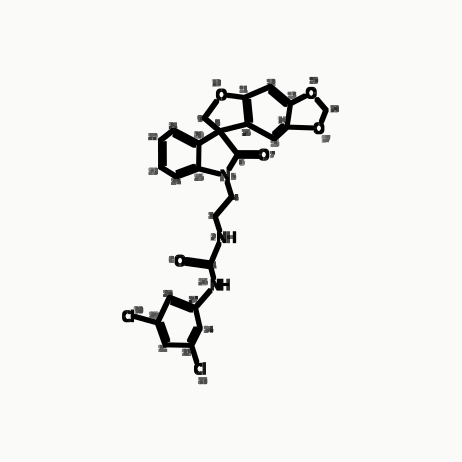 O=C(NCCN1C(=O)C2(COc3cc4c(cc32)OCO4)c2ccccc21)Nc1cc(Cl)cc(Cl)c1